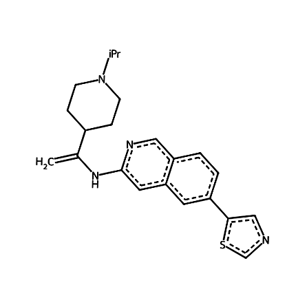 C=C(Nc1cc2cc(-c3cncs3)ccc2cn1)C1CCN(C(C)C)CC1